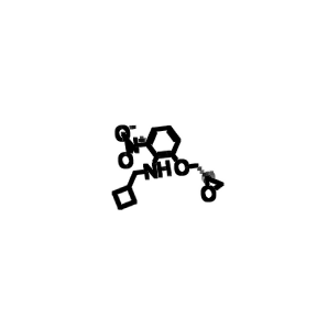 O=[N+]([O-])c1cccc(OC[C@@H]2CO2)c1NCC1CCC1